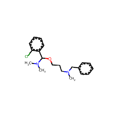 CN(CCCOC(c1ccccc1Cl)N(C)C)Cc1ccccc1